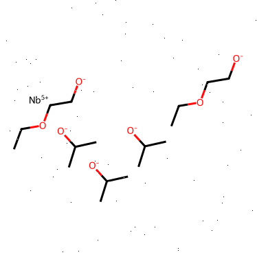 CC(C)[O-].CC(C)[O-].CC(C)[O-].CCOCC[O-].CCOCC[O-].[Nb+5]